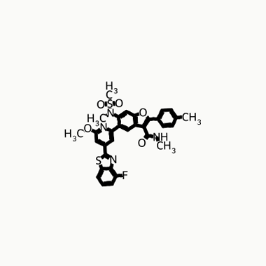 CNC(=O)c1c(-c2ccc(C)cc2)oc2cc(N(C)S(C)(=O)=O)c(-c3cc(-c4nc5c(F)cccc5s4)cc(OC)n3)cc12